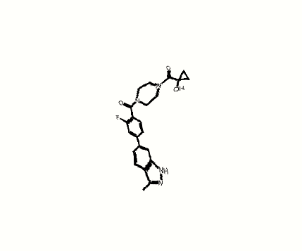 Cc1n[nH]c2cc(-c3ccc(C(=O)N4CCN(C(=O)C5(O)CC5)CC4)c(F)c3)ccc12